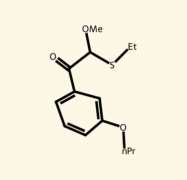 CCCOc1cccc(C(=O)C(OC)SCC)c1